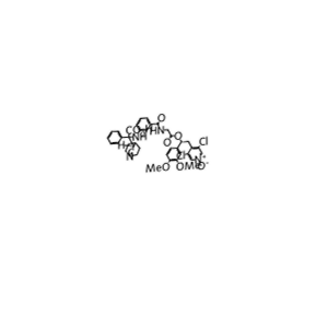 COc1ccc([C@H](Cc2c(Cl)c[n+]([O-])cc2Cl)OC(=O)CNC(=O)c2cccc(NC(C(=O)O)(c3ccccc3)[C@H]3CN4CCC3CC4)c2)cc1OC